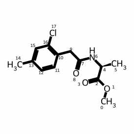 COC(=O)[C@H](C)NC(=O)Cc1ccc(C)cc1Cl